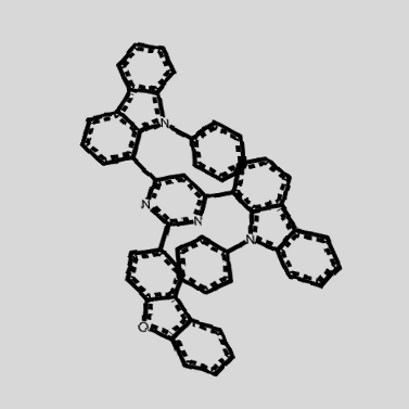 c1ccc(-n2c3ccccc3c3cccc(-c4cc(-c5cccc6c7ccccc7n(-c7ccccc7)c56)nc(-c5ccc6oc7ccccc7c6c5)n4)c32)cc1